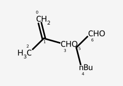 C=C(C)C=O.CCCCCC=O